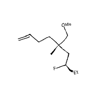 C=CCC[C@](C)(COC)C[C@H](F)CC